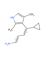 Cc1c[nH]c(C)c1/C(=C\C=C\N)C1CC1